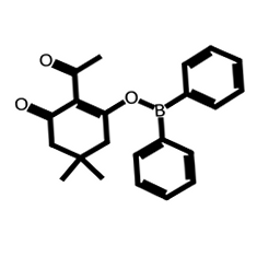 CC(=O)C1=C(OB(c2ccccc2)c2ccccc2)CC(C)(C)CC1=O